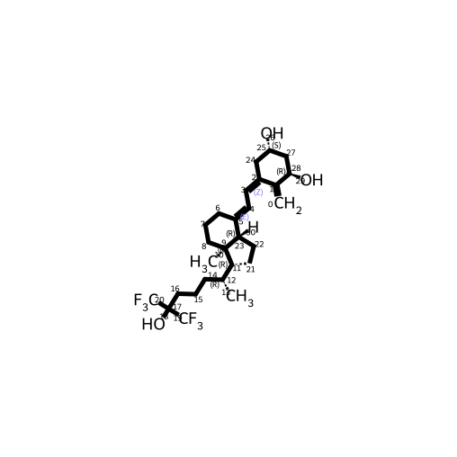 C=C1/C(=C\C=C2/CCC[C@]3(C)[C@@H]([C@H](C)CCCC(O)(C(F)(F)F)C(F)(F)F)CC[C@@H]23)C[C@H](O)C[C@H]1O